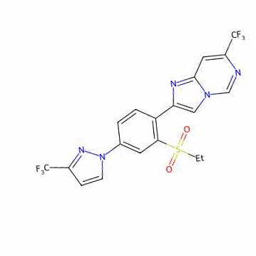 CCS(=O)(=O)c1cc(-n2ccc(C(F)(F)F)n2)ccc1-c1cn2cnc(C(F)(F)F)cc2n1